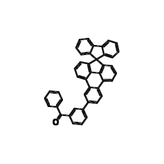 O=C(c1ccccc1)c1cccc(-c2ccc3c(c2)c2cccc4c2c2c(cccc32)C42c3ccccc3-c3ccccc32)c1